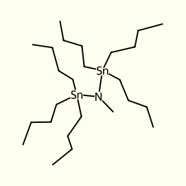 CCC[CH2][Sn]([CH2]CCC)([CH2]CCC)[N](C)[Sn]([CH2]CCC)([CH2]CCC)[CH2]CCC